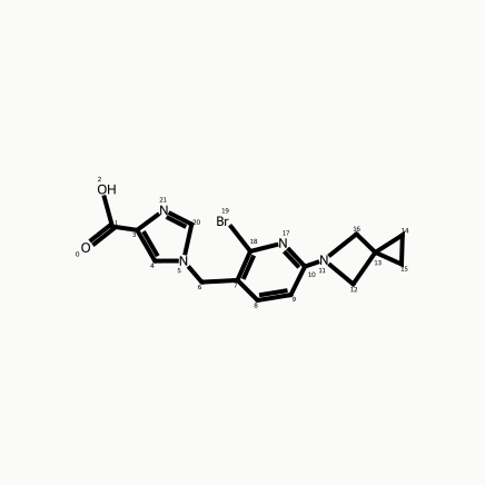 O=C(O)c1cn(Cc2ccc(N3CC4(CC4)C3)nc2Br)cn1